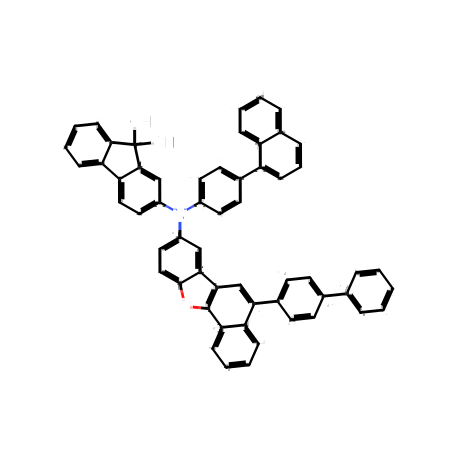 CC1(C)c2ccccc2-c2ccc(N(c3ccc(-c4cccc5ccccc45)cc3)c3ccc4oc5c6ccccc6c(-c6ccc(-c7ccccc7)cc6)cc5c4c3)cc21